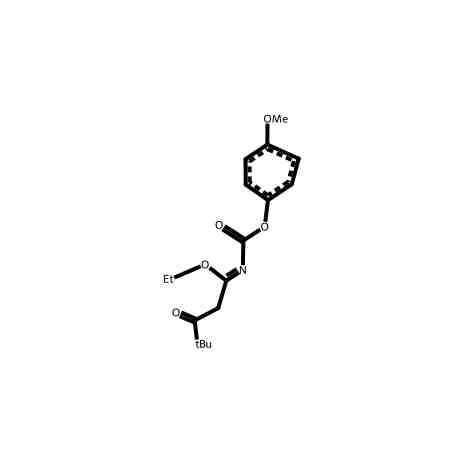 CCOC(CC(=O)C(C)(C)C)=NC(=O)Oc1ccc(OC)cc1